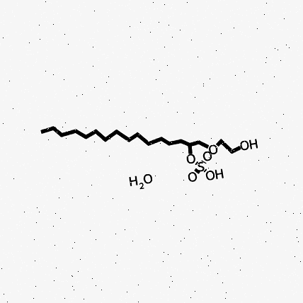 CCCCCCCCCCCCCCC(COCCO)OS(=O)(=O)O.O